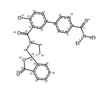 CCN(CC)C(=O)c1ccc(-c2ccc(Cl)c(C(=O)N3CC[C@@]4(C3)OC(=O)c3ccccc34)c2)cn1